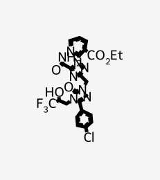 CCOC(=O)c1cccnc1-n1nc(Cn2nc(-c3ccc(Cl)cc3)n(CC(O)C(F)(F)F)c2=O)nc1C(N)=O